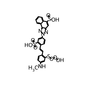 CNc1ccc(/C=C/c2ccc(-n3nc4cc(S(=O)O)c5ccccc5c4n3)cc2S(=O)(=O)O)c(SOOO)c1